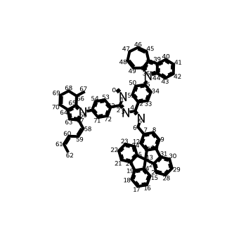 C=N/C(=N\C(=N/Cc1ccc2c(c1)C1(c3ccccc3-c3ccccc31)c1ccccc1-2)c1ccc(-n2c3c(c4ccccc42)C=CCC=C3)cc1)c1ccc(-n2c(/C=C\C=C/C)cc3c2C(C)CC=C3)cc1